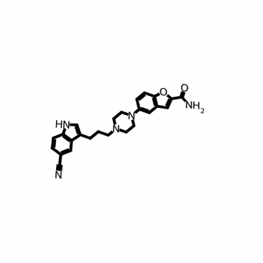 N#Cc1ccc2[nH]cc(CCCN3CCN(c4ccc5oc(C(N)=O)cc5c4)CC3)c2c1